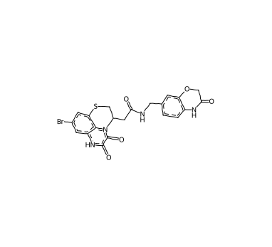 O=C(CC1CSc2cc(Br)cc3[nH]c(=O)c(=O)n1c23)NCc1ccc2c(c1)OCC(=O)N2